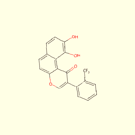 O=c1c(-c2ccccc2C(F)(F)F)coc2ccc3ccc(O)c(O)c3c12